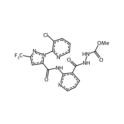 COC(=O)NNC(=O)c1cccnc1NC(=O)c1cc(C(F)(F)F)nn1-c1ncccc1Cl